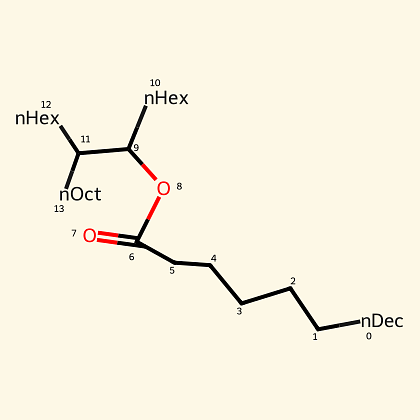 CCCCCCCCCCCCCCCC(=O)OC(CCCCCC)C(CCCCCC)CCCCCCCC